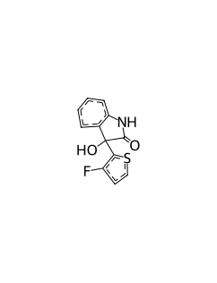 O=C1Nc2ccccc2C1(O)c1sccc1F